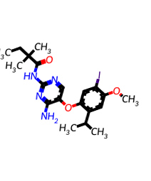 CCC(C)(C)C(=O)Nc1ncc(Oc2cc(I)c(OC)cc2C(C)C)c(N)n1